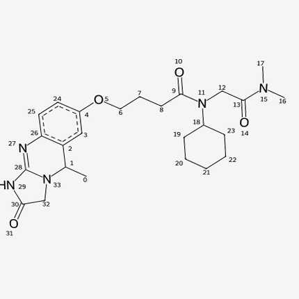 CC1c2cc(OCCCC(=O)N(CC(=O)N(C)C)C3CCCCC3)ccc2N=C2NC(=O)CN21